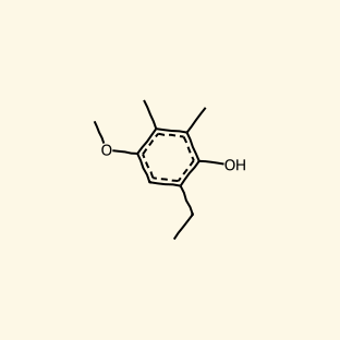 CCc1cc(OC)c(C)c(C)c1O